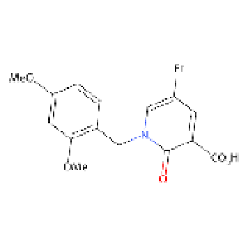 CCc1cc(C(=O)O)c(=O)n(Cc2ccc(OC)cc2OC)c1